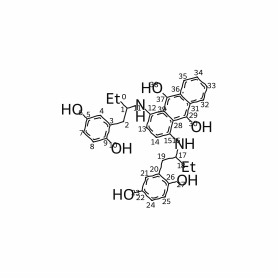 CCC(Cc1cc(O)ccc1O)Nc1ccc(NC(CC)Cc2cc(O)ccc2O)c2c(O)c3ccccc3c(O)c12